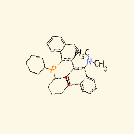 CN(C)c1c(-c2ccc3ccccc3c2P(C2CCCCC2)C2CCCCC2)ccc2ccccc12